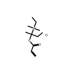 C=CC(=O)OC(C)(CC)[N+](C)(C)CC.[Cl-]